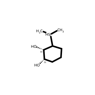 C[SiH](C)C1CCC[C@H](O)[C@@H]1O